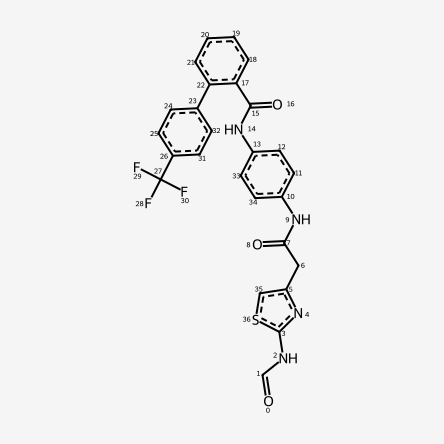 O=CNc1nc(CC(=O)Nc2ccc(NC(=O)c3ccccc3-c3ccc(C(F)(F)F)cc3)cc2)cs1